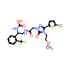 COCCn1c(-c2ccc(Cl)s2)nn(CC(=O)NCC(NC(=O)O)c2ccccc2C(F)(F)F)c1=O